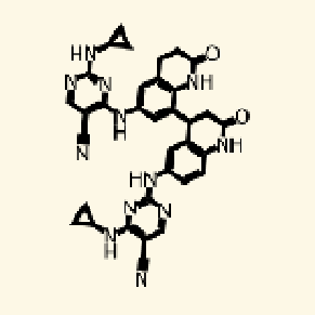 N#Cc1cnc(NC2CC2)nc1Nc1cc2c(c(C3CC(=O)Nc4ccc(Nc5ncc(C#N)c(NC6CC6)n5)cc43)c1)NC(=O)CC2